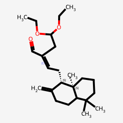 C=C1CCC2C(C)(C)CCC[C@]2(C)[C@H]1C/C=C(/C=O)CC(OCC)OCC